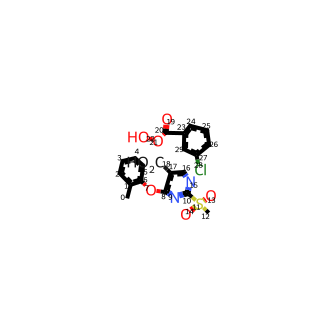 Cc1ccccc1Oc1nc(S(C)(=O)=O)ncc1C(=O)O.O=C(OO)c1cccc(Cl)c1